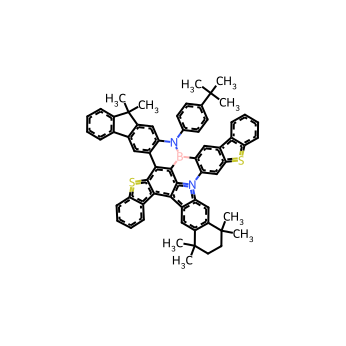 CC(C)(C)c1ccc(N2B3c4cc5c(cc4-n4c6cc7c(cc6c6c8c(sc9ccccc98)c(c3c64)-c3cc4c(cc32)C(C)(C)c2ccccc2-4)C(C)(C)CCC7(C)C)sc2ccccc25)cc1